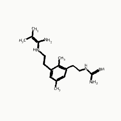 B=C(N)NCCc1cc(C)cc(CCNC(N)=C(C)C)c1C